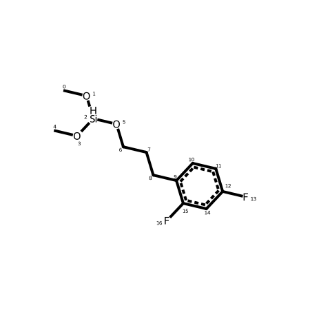 CO[SiH](OC)OCCCc1ccc(F)cc1F